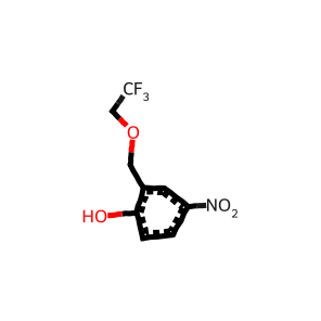 O=[N+]([O-])c1ccc(O)c(COCC(F)(F)F)c1